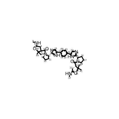 CNC(=O)CC(C(=O)N1CCC[C@H]1c1ncc(-c2ccc(-c3cnc([C@@H]4CCCN4C(=O)[C@@H](CC(=O)NC)C(C)(C)C)[nH]3)cc2)[nH]1)C(C)(C)C